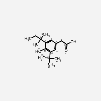 CCC(C)(C)c1cc(CC(=O)O)cc(C(C)(C)C)c1O